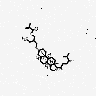 C=C(C)C(=O)OCC(CS)CC[C@H]1CC[C@@]2(C)[C@@H](CC[C@@H]3[C@@H]2CC[C@]2(C)[C@@H]([C@H](C)CC[C@@H](C)C(C)C)CC[C@@H]32)C1